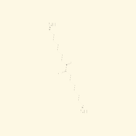 N=CCCCCCCC(=O)C(=O)CCCCCCC=N